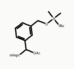 CCCCCCCC(OC(C)=O)c1cccc(CO[Si](C)(C)C(C)(C)C)c1